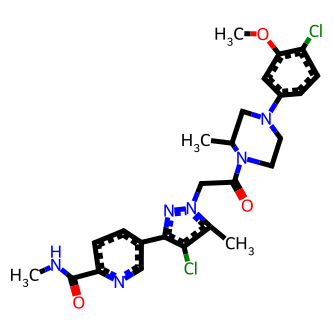 CNC(=O)c1ccc(-c2nn(CC(=O)N3CCN(c4ccc(Cl)c(OC)c4)CC3C)c(C)c2Cl)cn1